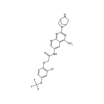 Cc1nc(N2CC3CC2CN3)nc2ncc(NC(=O)COc3ccc(OC(F)(F)F)cc3Cl)cc12